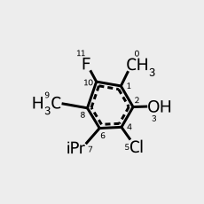 Cc1c(O)c(Cl)c(C(C)C)c(C)c1F